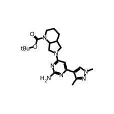 Cc1nn(C)cc1-c1cc(N2CC3CCCN(C(=O)OC(C)(C)C)C3C2)nc(N)n1